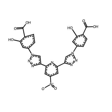 O=C(O)c1ccc(-n2cc(-c3cc([N+](=O)[O-])cc(-c4cn(-c5ccc(C(=O)O)c(O)c5)nn4)n3)nn2)cc1O